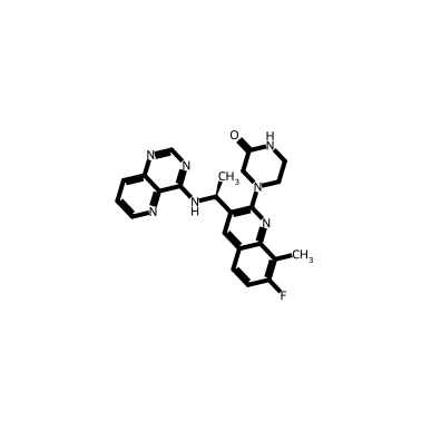 Cc1c(F)ccc2cc([C@H](C)Nc3ncnc4cccnc34)c(N3CCNC(=O)C3)nc12